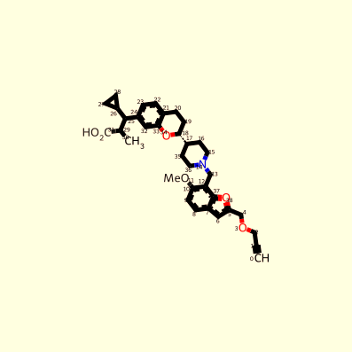 C#CCOCc1cc2ccc(OC)c(CN3CCC([C@H]4CCc5ccc(C(C6CC6)C(C)C(=O)O)cc5O4)CC3)c2o1